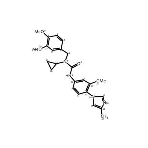 COc1ccc(CN(C(=O)Nc2ccc(-n3cnc(C)c3)c(OC)c2)C2CC2)cc1OC